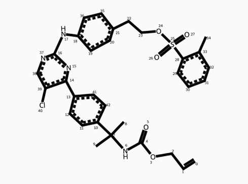 C=CCOC(=O)NC(C)(C)c1ccc(-c2nc(Nc3ccc(CCOS(=O)(=O)c4ccccc4C)cc3)ncc2Cl)cc1